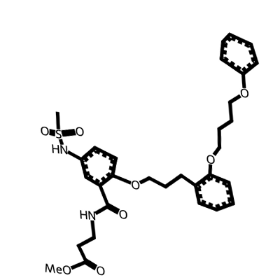 COC(=O)CCNC(=O)c1cc(NS(C)(=O)=O)ccc1OCCCc1ccccc1OCCCCOc1ccccc1